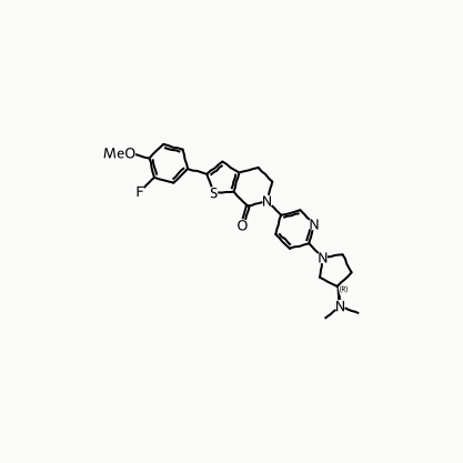 COc1ccc(-c2cc3c(s2)C(=O)N(c2ccc(N4CC[C@@H](N(C)C)C4)nc2)CC3)cc1F